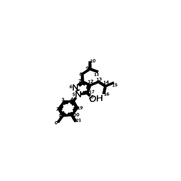 Cc1ccc(-n2nc(CC(C)C)c(CC(C)C)c2O)cc1C